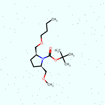 CCCCOC[C@@H]1CC[C@H](COC)N1C(=O)OC(C)(C)C